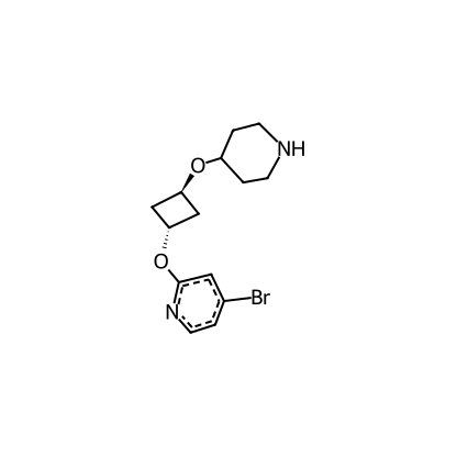 Brc1ccnc(O[C@H]2C[C@H](OC3CCNCC3)C2)c1